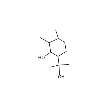 CC1CCC(C(C)(C)O)C(O)C1C